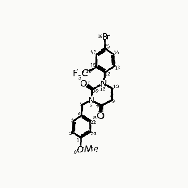 COc1ccc(CN2C(=O)CCN(c3ccc(Br)cc3C(F)(F)F)C2=O)cc1